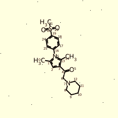 Cc1cc(C(=O)CN2CCCCC2)c(C)n1-c1ccc(S(C)(=O)=O)cc1